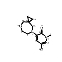 Cn1nc(Cl)cc(N2CCOCC3(CC3)C2)c1=O